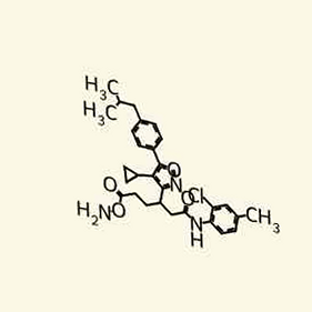 Cc1ccc(NC(=O)CC(CCC(=O)ON)c2noc(-c3ccc(CC(C)C)cc3)c2C2CC2)c(Cl)c1